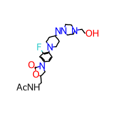 CC(=O)NCC1CN(c2ccc(N3CCC(=NN4CCN(CCO)CC4)CC3)c(F)c2)C(=O)O1